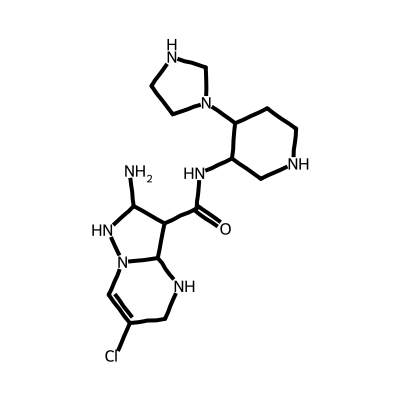 NC1NN2C=C(Cl)CNC2C1C(=O)NC1CNCCC1N1CCNC1